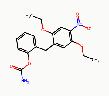 CCOc1cc([N+](=O)[O-])c(OCC)cc1Cc1ccccc1OC(N)=O